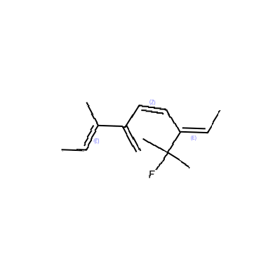 C=C(/C=C\C(=C/C)C(C)(C)F)/C(C)=C/C